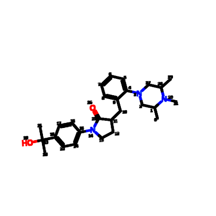 CC1CN(c2ccccc2CC2CCN(c3ccc(C(C)(C)O)cc3)C2=O)CC(C)N1C